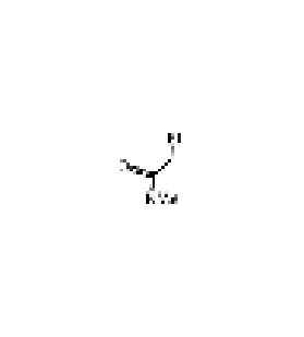 C[C]CC(=O)NC